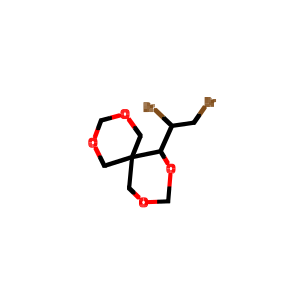 BrCC(Br)C1OCOCC12COCOC2